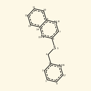 c1ccc(CSc2cnc3ccccc3n2)nc1